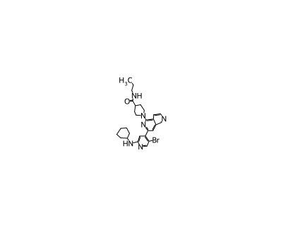 CCCNC(=O)C1CCN(c2nc(-c3cc(NC4CCCCC4)ncc3Br)cc3cnccc23)CC1